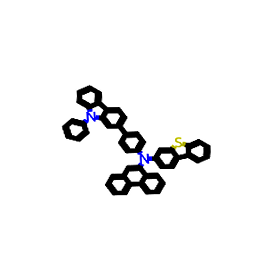 c1ccc(-n2c3ccccc3c3ccc(-c4ccc(N(c5ccc6c(c5)sc5ccccc56)c5cc6ccccc6c6ccccc56)cc4)cc32)cc1